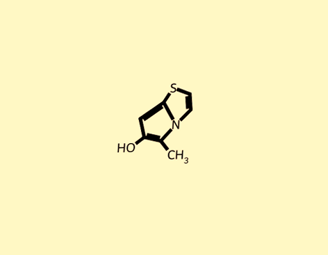 Cc1c(O)cc2sccn12